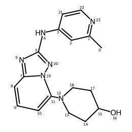 Cc1cc(Nc2nc3cccc(N4CCC(O)CC4)n3n2)ccn1